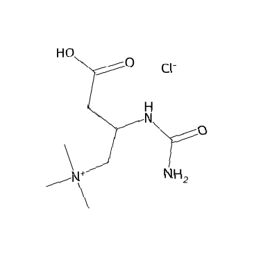 C[N+](C)(C)CC(CC(=O)O)NC(N)=O.[Cl-]